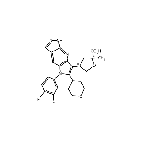 C[C@]1(C(=O)O)C[C@H](c2c(C3CCOCC3)n(-c3ccc(F)c(F)c3)c3cc4cn[nH]c4nc23)CO1